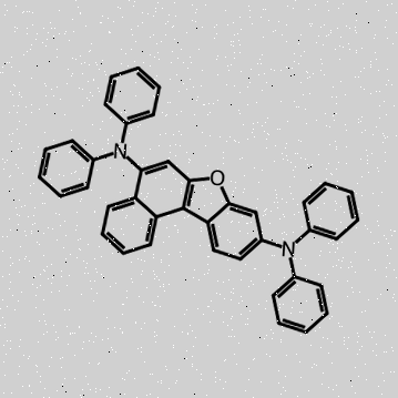 c1ccc(N(c2ccccc2)c2ccc3c(c2)oc2cc(N(c4ccccc4)c4ccccc4)c4ccccc4c23)cc1